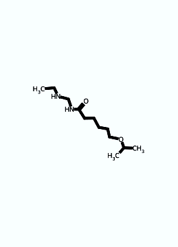 CCNCNC(=O)CCCCCOC(C)C